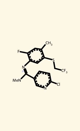 CN/C(=N/c1cc(SCC(F)(F)F)c(C)cc1F)c1ccc(Cl)nc1